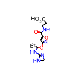 CCC(NC1=NCCN1)Oc1cc(C(=O)NCCC(=O)O)on1